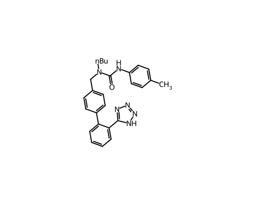 CCCCN(Cc1ccc(-c2ccccc2-c2nnn[nH]2)cc1)C(=O)Nc1ccc(C)cc1